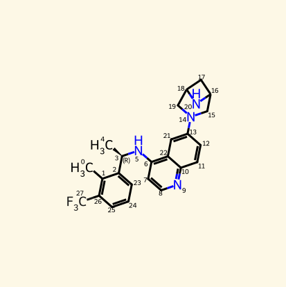 Cc1c([C@@H](C)Nc2ccnc3ccc(N4CC5CC(C4)N5)cc23)cccc1C(F)(F)F